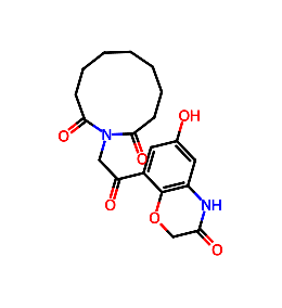 O=C1COc2c(cc(O)cc2C(=O)CN2C(=O)CCCCCCCC2=O)N1